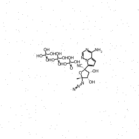 C[C@@]1(N=[N+]=[N-])O[C@@](C#N)(c2ccc3c(N)ncnn23)[C@H](O)[C@@H]1O.O=P(O)(O)O.O=P(O)(O)O.O=P(O)(O)O